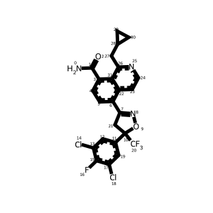 NC(=O)c1ccc(C2=NOC(c3cc(Cl)c(F)c(Cl)c3)(C(F)(F)F)C2)c2ccnc(CC3CC3)c12